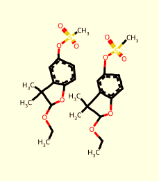 CCOC1Oc2ccc(OS(C)(=O)=O)cc2C1(C)C.CCOC1Oc2ccc(OS(C)(=O)=O)cc2C1(C)C